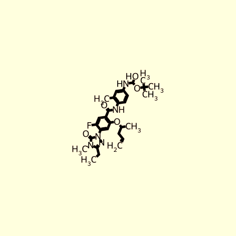 C=CCC(C)Oc1cc(-n2nc(CC)n(C)c2=O)c(F)cc1C(=O)Nc1ccc(NC(O)OC(C)(C)C)cc1C